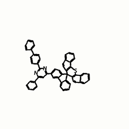 c1ccc(-c2ccc(-c3nc(-c4ccccc4)cc(-c4ccc5c(c4)-c4ccccc4C54c5ccc6ccccc6c5Sc5c4ccc4ccccc54)n3)cc2)cc1